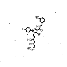 CC(C)c1c(C(=O)NCc2cccc(C#N)c2)nn(-c2ccc(F)cc2)c1C=C[C@H](O)C[C@@H](O)CC(=O)O